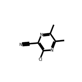 Cc1nc(Cl)c(C#N)nc1C